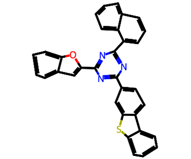 c1ccc2oc(-c3nc(-c4ccc5c(c4)sc4ccccc45)nc(-c4cccc5ccccc45)n3)cc2c1